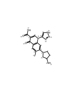 NC1CCN(c2cc3c(cc2F)c(=O)c(C(=O)O)cn3-c2c[nH]nn2)C1